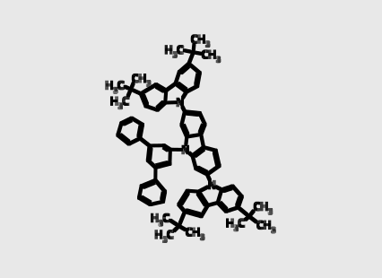 CC(C)(C)c1ccc2c(c1)c1cc(C(C)(C)C)ccc1n2-c1ccc2c3ccc(-n4c5ccc(C(C)(C)C)cc5c5cc(C(C)(C)C)ccc54)cc3n(-c3cc(-c4ccccc4)cc(-c4ccccc4)c3)c2c1